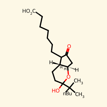 CCCCC(C)(C)C1(O)CC[C@@H]2C(CCCCCCC(=O)O)C(=O)C[C@H]2O1